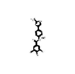 Cl.Nc1nc(-c2ccc(NC(=O)c3cc(Cl)c(Br)c(Cl)c3)cc2)c[nH]1